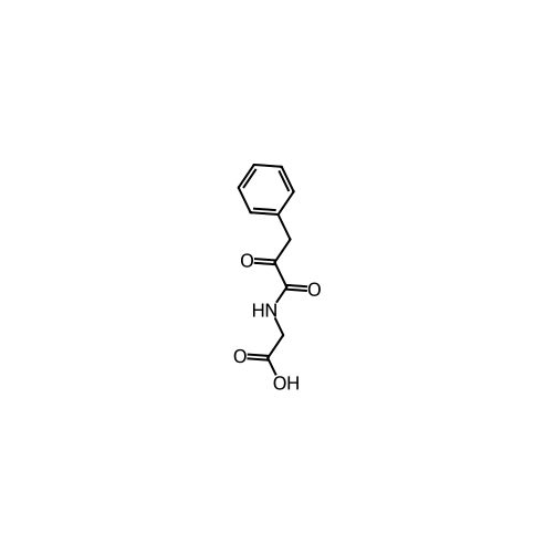 O=C(O)CNC(=O)C(=O)Cc1ccccc1